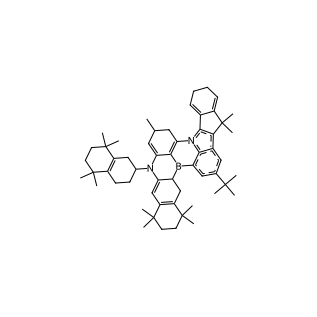 CC1C=C2C3=C(C1)n1c4c(c5cc(C(C)(C)C)cc(c51)B3C1CC3=C(C=C1N2C1CCC2=C(C1)C(C)(C)CCC2(C)C)C(C)(C)CCC3(C)C)C(C)(C)C1=CCCC=C14